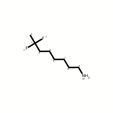 CC(F)(F)CCCCCCN